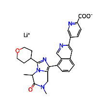 CC1C(=O)N(C)Cc2c(-c3cccc4cc(-c5ccc(C(=O)[O-])nc5)ncc34)nc(C3CCOCC3)n21.[Li+]